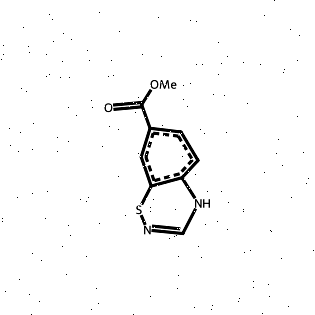 COC(=O)c1ccc2c(c1)SN=CN2